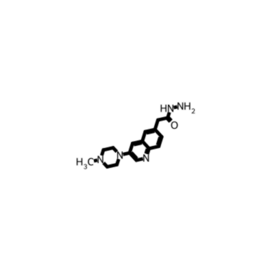 CN1CCN(c2cnc3ccc(CC(=O)NN)cc3c2)CC1